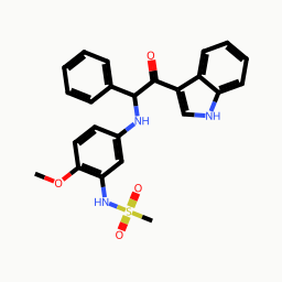 COc1ccc(NC(C(=O)c2c[nH]c3ccccc23)c2ccccc2)cc1NS(C)(=O)=O